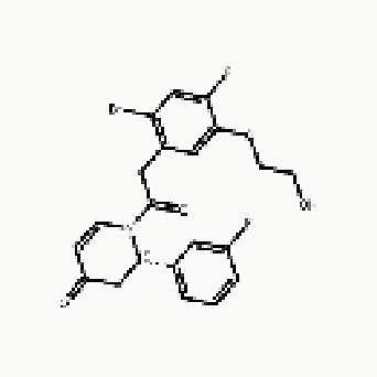 O=C1C=CN(C(=O)Cc2cc(OCCO)c(F)cc2Br)[C@H](c2cccc(F)c2)C1